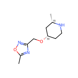 Cc1nc(CO[C@H]2CCN[C@@H](C)C2)no1